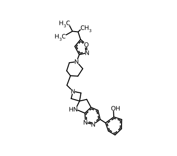 CC(C)C(C)c1cc(N2CCC(CN3CC4(Cc5cc(-c6ccccc6O)nnc5N4)C3)CC2)no1